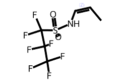 C/C=C\NS(=O)(=O)C(F)(F)C(F)(F)C(F)(F)F